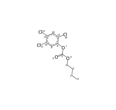 CCCCOC(=O)Oc1cc(Cl)c(Cl)cc1Cl